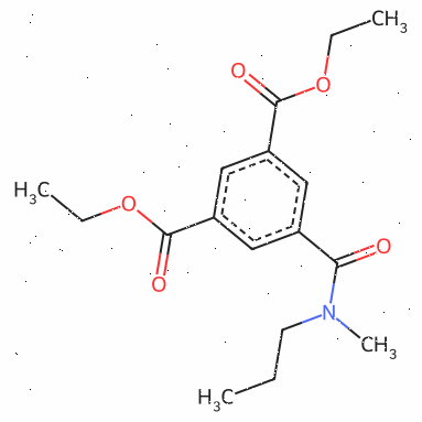 CCCN(C)C(=O)c1cc(C(=O)OCC)cc(C(=O)OCC)c1